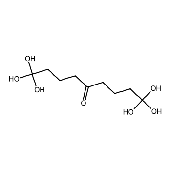 O=C(CCCC(O)(O)O)CCCC(O)(O)O